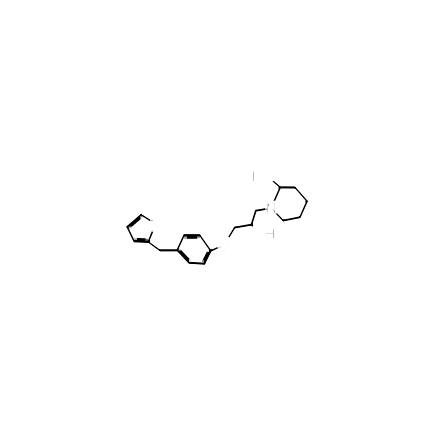 CC1CCCCN1CC(O)COc1ccc(Cc2cccs2)cc1